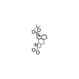 COC(=O)C1CC2Cc3cccc4c3c(cn4C(=O)OC(C)(C)C)C2N1C